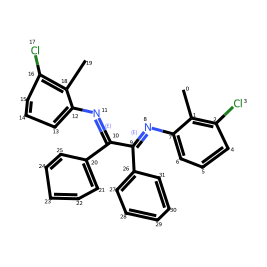 Cc1c(Cl)cccc1/N=C(/C(=N/c1cccc(Cl)c1C)c1ccccc1)c1ccccc1